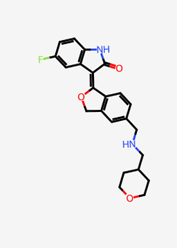 O=C1Nc2ccc(F)cc2C1=C1OCc2cc(CNCC3CCOCC3)ccc21